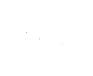 CNCCCCNCC(=O)C(C)C